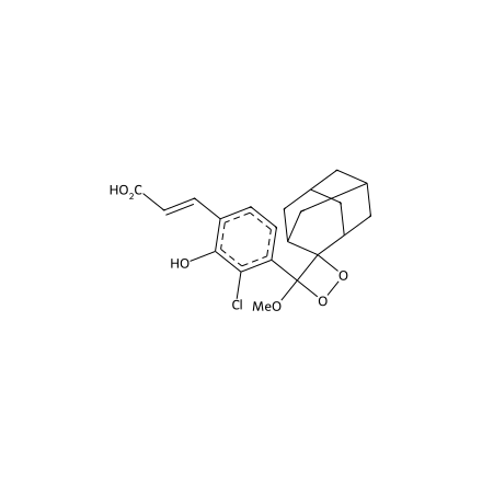 COC1(c2ccc(/C=C/C(=O)O)c(O)c2Cl)OOC12C1CC3CC(C1)CC2C3